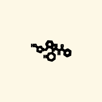 O=C(Nc1nc2cccc(CN3CCC(O)C3)c2n1[C@@H]1CCCCNC1)c1ccccc1